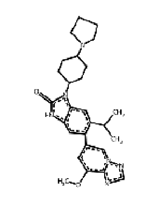 COc1cc(-c2cc3[nH]c(=O)n(C4CCC(N5CCCC5)CC4)c3cc2C(C)C)cn2ncnc12